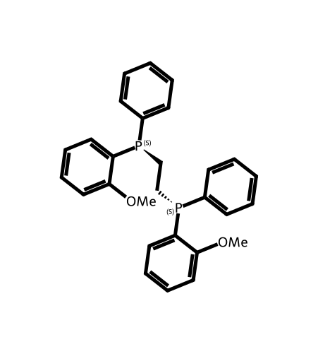 COc1ccccc1[P@](CC[P@](c1ccccc1)c1ccccc1OC)c1ccccc1